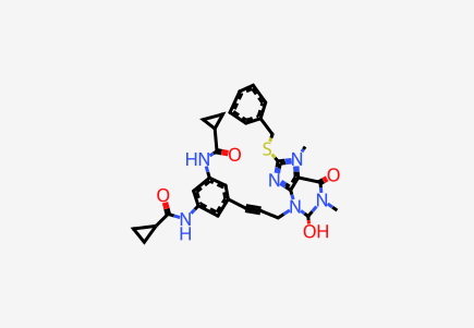 CN1C(=O)c2c(nc(SCc3ccccc3)n2C)N(CC#Cc2cc(NC(=O)C3CC3)cc(NC(=O)C3CC3)c2)C1O